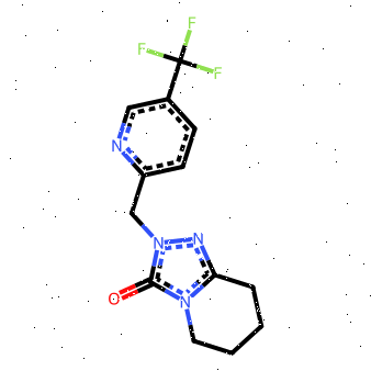 O=c1n(Cc2ccc(C(F)(F)F)cn2)nc2n1CCCC2